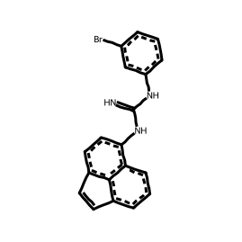 N=C(Nc1cccc(Br)c1)Nc1ccc2c3c(cccc13)C=C2